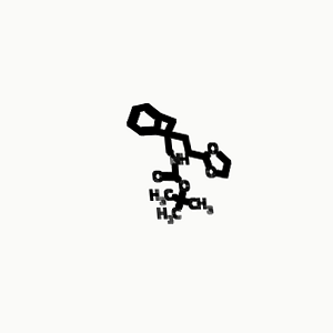 CC(C)(C)OC(=O)NCC1(CCC2OCCO2)Cc2ccccc21